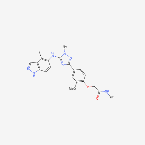 COc1cc(-c2nc(Nc3ccc4[nH]ncc4c3C)n(C(C)C)n2)ccc1OCC(=O)NC(C)C